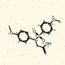 C=C(O)CN(c1ccc(OC)cc1)S(=O)(=O)c1ccc(OC)cc1